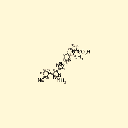 C[C@@H](c1cccc(Cn2cc(-c3cc(-c4cccc(C#N)c4)nc(N)n3)nn2)n1)N1CCCC1C(=O)O